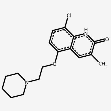 Cc1cc2c(OCCN3CCCCC3)ccc(Cl)c2[nH]c1=O